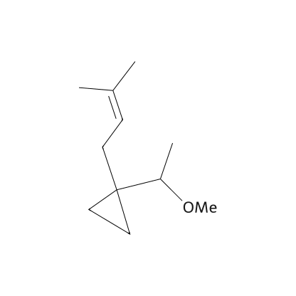 COC(C)C1(CC=C(C)C)CC1